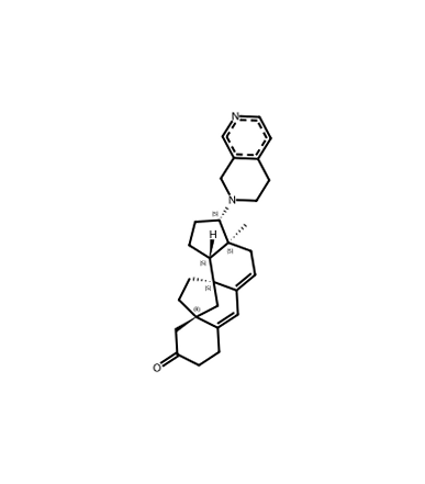 C[C@]12CC=C3C=C4CCC(=O)C[C@]45CC[C@]3(C5)[C@@H]1CC[C@@H]2N1CCc2ccncc2C1